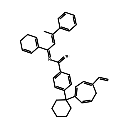 C=CC1=CC=C(C2(c3ccc(C(=N)/N=C(\C=C(/C)c4ccccc4)C4=CCCC=C4)cc3)CCCCC2)C=CC1